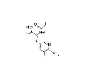 CCC(=O)NC(=Cc1cnc(N)c(C)c1)C(=O)O